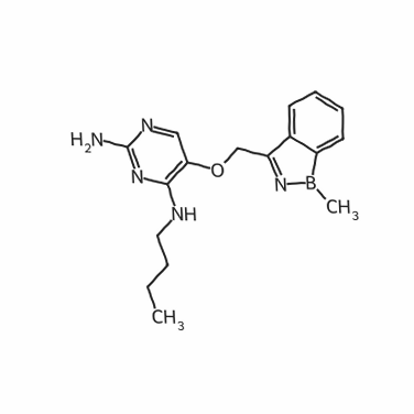 CCCCNc1nc(N)ncc1OCC1=NB(C)c2ccccc21